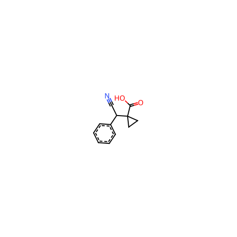 N#CC(c1ccccc1)C1(C(=O)O)CC1